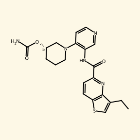 CCc1csc2ccc(C(=O)Nc3cnccc3N3CCC[C@H](OC(N)=O)C3)nc12